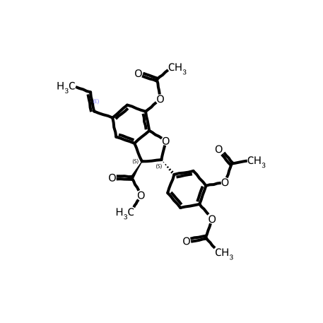 C/C=C/c1cc(OC(C)=O)c2c(c1)[C@H](C(=O)OC)[C@@H](c1ccc(OC(C)=O)c(OC(C)=O)c1)O2